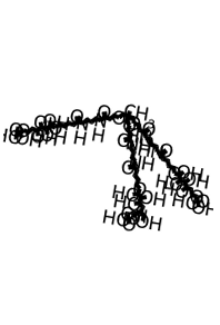 CC(COCCC(=O)NCCCNC(=O)CCCCOC(O)C(O)C(O)CC(CO)COP(=O)(O)O)(COCCC(=O)NCCCNC(=O)CCCCOC(O)C(O)C(O)C(O)CCOP(=O)(O)O)COCCC(=O)NCCCNC(=O)CCCCOC(O)C(O)C(O)C(O)CCOP(=O)(O)O